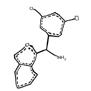 NC(c1cc(Cl)cc(Cl)c1)c1occ2ccccc12